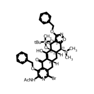 CC(=O)Nc1nc(Br)c2c(c1OCc1ccccc1)C(=O)C1=C(O)[C@]3(O[Si](C)(C)C(C)(C)C)C(=O)c4c(OCc5ccccc5)noc4[C@@H](N(C)C)[C@@H]3C[C@@H]1C2